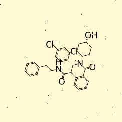 O=C(NCCc1ccccc1)[C@@H]1c2ccccc2C(=O)N([C@H]2CC[C@H](O)CC2)[C@H]1c1ccc(Cl)cc1Cl